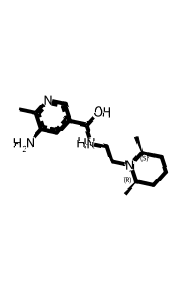 Cc1ncc(C(O)NCCN2[C@H](C)CCC[C@@H]2C)cc1N